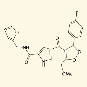 COCc1onc(-c2ccc(F)cc2)c1C(=O)c1c[nH]c(C(=O)NCc2ccco2)c1